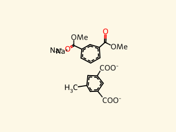 COC(=O)c1cccc(C(=O)OC)c1.Cc1cc(C(=O)[O-])cc(C(=O)[O-])c1.[Na+].[Na+]